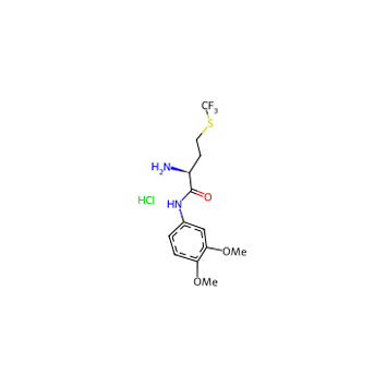 COc1ccc(NC(=O)[C@@H](N)CCSC(F)(F)F)cc1OC.Cl